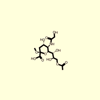 CO[C@@]1(C(=O)O)C[C@H](O)[C@@H](NC(=O)CO)[C@H]([C@H](O)[C@H](O)COC(C)=O)O1